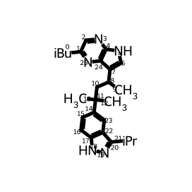 CCC(C)c1cnc2[nH]cc(C(C)CC(C)(C)c3ccc4[nH]nc(C(C)C)c4c3)c2n1